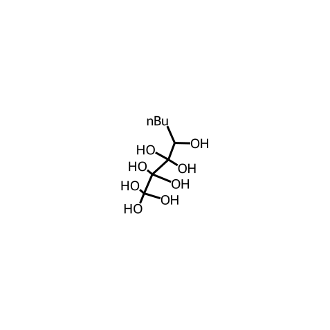 CCCCC(O)C(O)(O)C(O)(O)C(O)(O)O